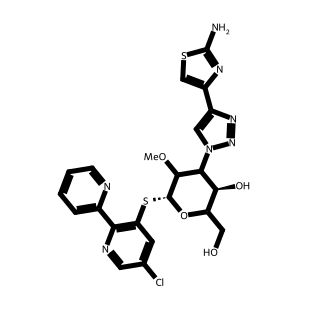 COC1C(n2cc(-c3csc(N)n3)nn2)[C@@H](O)C(CO)O[C@@H]1Sc1cc(Cl)cnc1-c1ccccn1